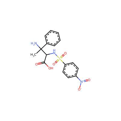 CC(N)(c1ccccc1)C(NS(=O)(=O)c1ccc([N+](=O)[O-])cc1)C(=O)O